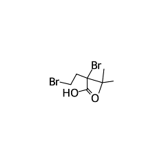 CC(C)(C)C(Br)(CCBr)C(=O)O